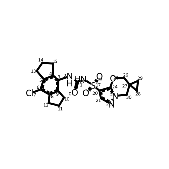 O=C(Nc1c2c(c(Cl)c3c1CCC3)CCC2)NS(=O)(=O)c1cnn2c1OCC1(CC1)C2